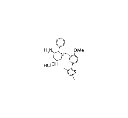 COc1ccc(-c2sc(C)cc2C)cc1CN1CCCC(N)C1c1ccccc1.Cl.Cl